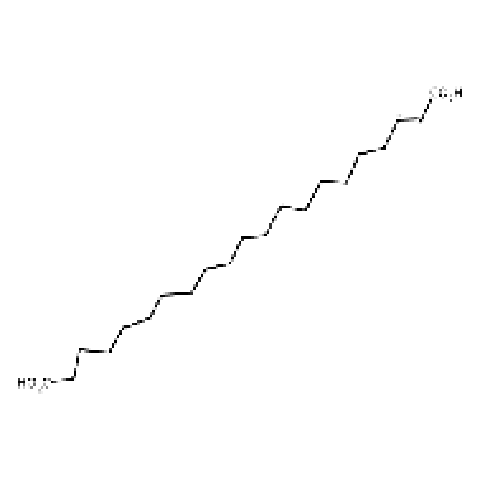 O=C(O)C=CCCCCCCCCCCCCCCCCCC(=O)O